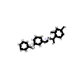 Cc1ccc(C(C)/N=C/c2cccc(Oc3ccccc3)c2)c(C)c1